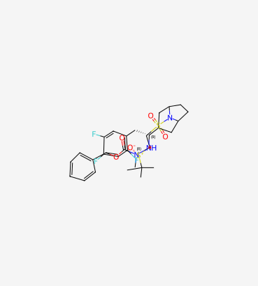 CN(CCS(=O)(=O)N1C2CCC1CC([C@@H](Cc1cc(F)c(F)cc1F)N[S@@+]([O-])C(C)(C)C)C2)C(=O)OCc1ccccc1